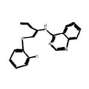 CCC(COc1ccccc1Cl)Nc1ncnc2ccccc12